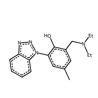 CCN(CC)Cc1cc(C)cc(-n2nnc3ccccc32)c1O